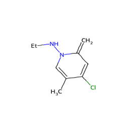 C=C1C=C(Cl)C(C)=CN1NCC